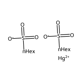 CCCCCCS(=O)(=O)[O-].CCCCCCS(=O)(=O)[O-].[Hg+2]